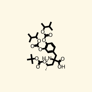 CC(C)C(C)OC(=O)Oc1ccc(CC(N)(C[C@H](C)OC(=O)OC(C)(C)C)C(=O)O)cc1OC(=O)OC(C)C(C)C